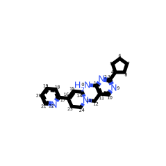 Nc1nc(C2CCCC2)ncc1CN1CC=C(c2ccccn2)CC1